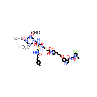 C#C[C@H]1CC(F)(F)CN1C(=O)CNC(=O)c1ccnc2ccc(OCCCCC3CCN(C(=O)C(O)CSCCNC(=O)C(CSCCNC(=O)CCCc4ccc(C)cc4)NC(=O)CN4CCN(COC=O)CCN(COC=O)CCN(CC(=O)O)CC4)CC3)cc12